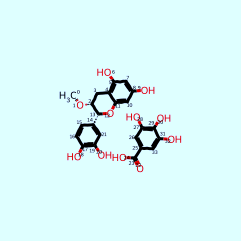 CO[C@@H]1Cc2c(O)cc(O)cc2O[C@@H]1c1ccc(O)c(O)c1.O=C(O)c1cc(O)c(O)c(O)c1